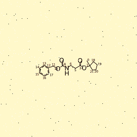 CC1(OC(=O)CCNC(=O)OCc2ccccc2)CCCC1